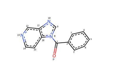 O=C(c1ccccc1)n1cnc2cnccc21